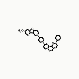 Cc1cnc2c(c1)oc1ccc(-c3ccc(-c4ccc5ccc6ccc(-c7ccccc7)nc6c5n4)cc3)cc12